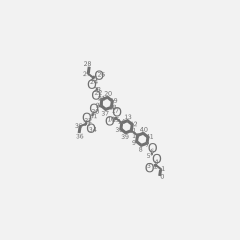 C=CC(=O)OCOc1ccc(-c2ccc(C(=O)Oc3ccc(OCOC(=O)C=C)c(OCOC(=O)C=C)c3)cc2)cc1